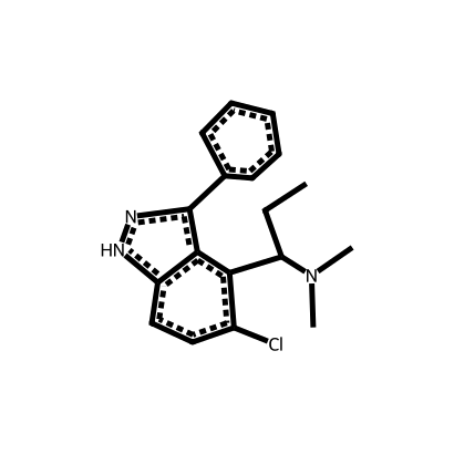 CCC(c1c(Cl)ccc2[nH]nc(-c3ccccc3)c12)N(C)C